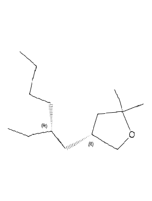 CCCC[C@@H](CC)C[C@H]1COC(C)(C)C1